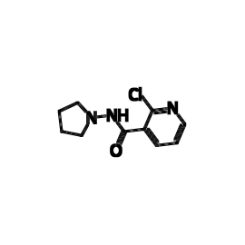 O=C(NN1CCCC1)c1cccnc1Cl